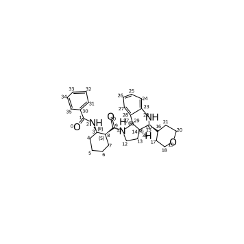 O=C(N[C@@H]1CCCC[C@@H]1C(=O)N1CC[C@@H]2[C@H](C3CCOCC3)Nc3ccccc3[C@@H]21)c1ccccc1